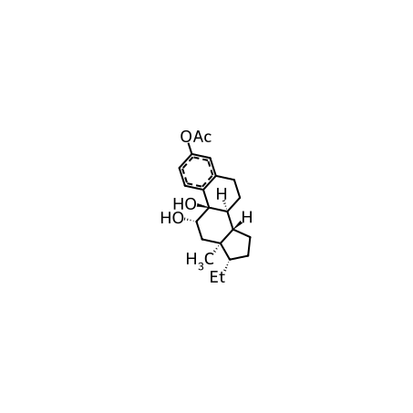 CC[C@H]1CC[C@H]2[C@@H]3CCc4cc(OC(C)=O)ccc4[C@@]3(O)[C@@H](O)C[C@]12C